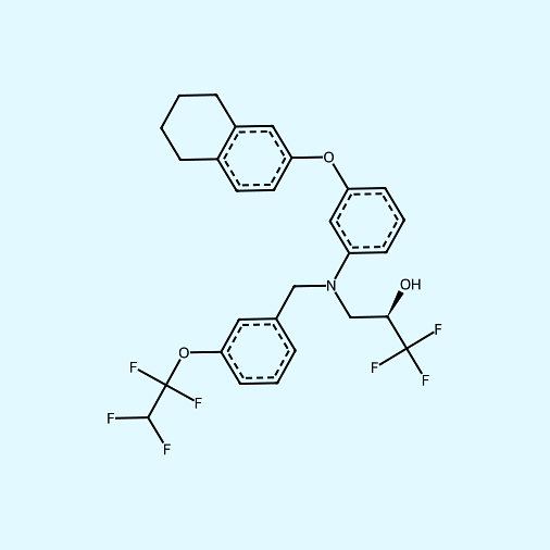 O[C@H](CN(Cc1cccc(OC(F)(F)C(F)F)c1)c1cccc(Oc2ccc3c(c2)CCCC3)c1)C(F)(F)F